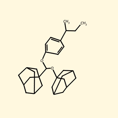 CCC(C)c1ccc(OC(OC23CC4CC(CC(C4)C2)C3)C23CC4CC(CC(C4)C2)C3)cc1